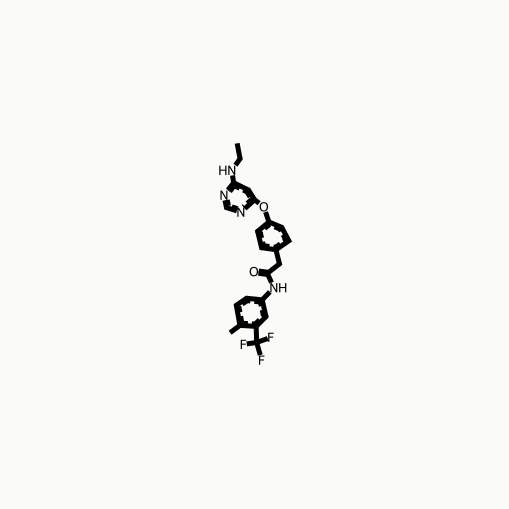 CCNc1cc(Oc2ccc(CC(=O)Nc3ccc(C)c(C(F)(F)F)c3)cc2)ncn1